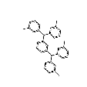 Cc1cccc(N(c2cccc(C)c2)c2cccc(N(c3cccc(C)c3)c3cccc(C)c3)n2)c1